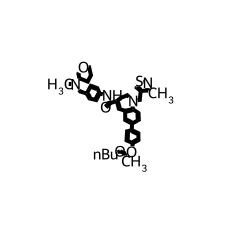 CCCCOC(C)Oc1ccc(-c2ccc3c(c2)C=C(C(=O)Nc2ccc(CN(C)C4CCCOC4)cc2)CCN3Cc2csnc2C)cc1